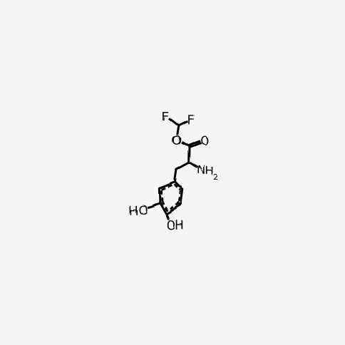 NC(Cc1ccc(O)c(O)c1)C(=O)OC(F)F